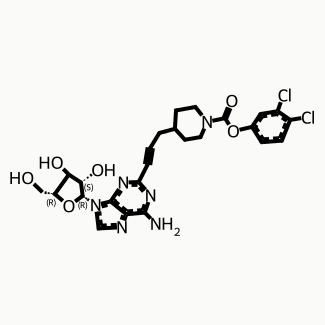 Nc1nc(C#CCC2CCN(C(=O)Oc3ccc(Cl)c(Cl)c3)CC2)nc2c1ncn2[C@@H]1O[C@H](CO)C(O)[C@@H]1O